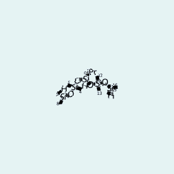 CC(C)[SiH](O[Si](C)(C)O[SiH](C)C)O[Si](C)(C)O[SiH](C)C